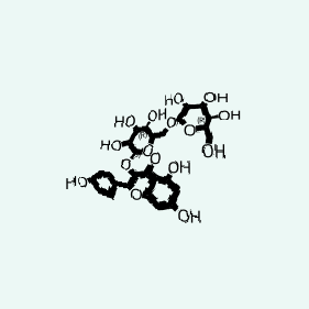 O=c1c(O[C@@H]2OC(CO[C@@H]3OC(CO)[C@H](O)C(O)C3O)[C@H](O)C(O)C2O)c(-c2ccc(O)cc2)oc2cc(O)cc(O)c12